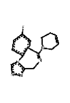 Fc1ccc2c(c1)C(N1CC=CCC1)=NCc1nncn1-2